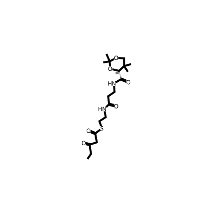 CCC(=O)CC(=O)SCCNC(=O)CCNC(=O)[C@@H]1OC(C)(C)OCC1(C)C